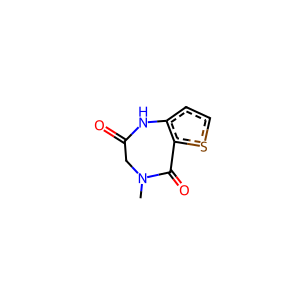 CN1CC(=O)Nc2ccsc2C1=O